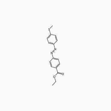 CCOC(=O)c1ccc(/N=N/c2ccc(SC)cc2)cc1